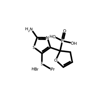 Br.CC(C)Sc1sc(N)nc1C1(P(=O)(O)O)CC=CO1